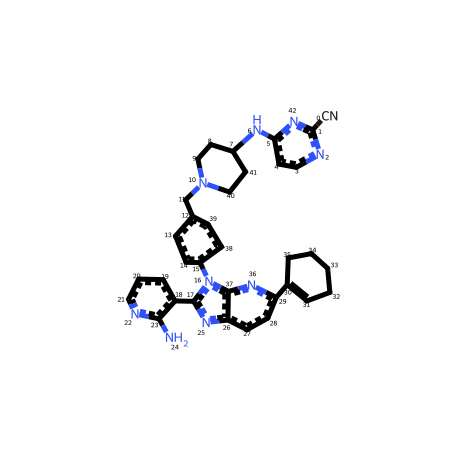 N#Cc1nccc(NC2CCN(Cc3ccc(-n4c(-c5cccnc5N)nc5ccc(C6=CCCCC6)nc54)cc3)CC2)n1